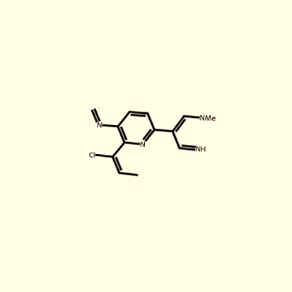 C=Nc1ccc(/C(C=N)=C/NC)nc1/C(Cl)=C\C